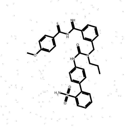 CCCN(Cc1cccc(C(=N)NC(=S)c2ccc(OC)cc2)c1)C(=O)Nc1ccc(-c2ccccc2S(N)(=O)=O)cc1